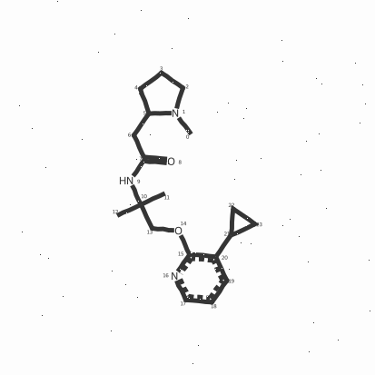 CN1CCCC1CC(=O)NC(C)(C)COc1ncccc1C1CC1